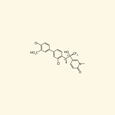 C[C@@H](c1ccc(-c2ccc(Cl)c(C(=O)O)c2)cc1Cl)[C@](O)(c1ccc(=O)n(C)c1)C(F)(F)F